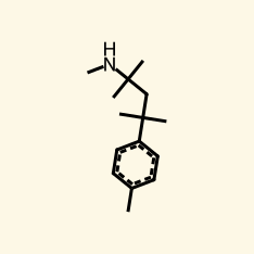 CNC(C)(C)CC(C)(C)c1ccc(C)cc1